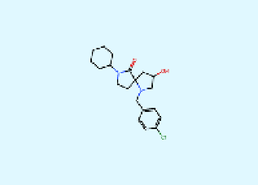 O=C1N(C2CCCCC2)CCC12CC(O)CN2Cc1ccc(Cl)cc1